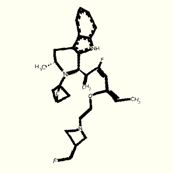 C=C(/C(F)=C\C(=C/C)OCCN1CC(CF)C1)[C@@H]1c2[nH]c3ccccc3c2C[C@@H](C)N1C12CC(C1)C2